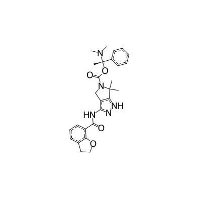 CN(C)[C@@](C)(OC(=O)N1Cc2c(NC(=O)c3cccc4c3OCC4)n[nH]c2C1(C)C)c1ccccc1